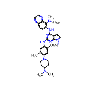 COc1cc(N2CCC(N(C)C)CC2)c(C)cc1Nc1nc(Nc2ccc3nccnc3c2N(C)SC)c2cc[nH]c2n1